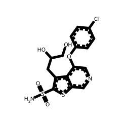 NS(=O)(=O)c1sc2cncc(Oc3ccc(Cl)cc3)c2c1CC(O)CO